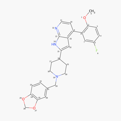 COc1ccc(F)cc1-c1ccnc2[nH]c(C3CCN(Cc4ccc5c(c4)OCO5)CC3)cc12